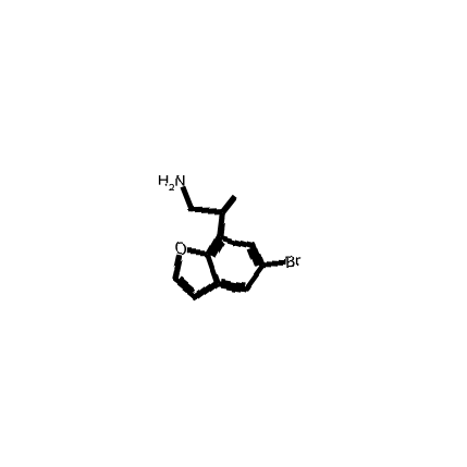 CC(CN)c1cc(Br)cc2ccoc12